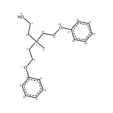 C[N+](CCO)(CCOc1ccccc1)CCOc1ccccc1